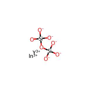 [In+3].[O-][Si]([O-])([O-])O[Si]([O-])([O-])[O-].[Y+3]